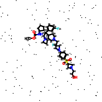 COC(=O)N[C@H]1CCC[C@@H]1C(CN1CCC1)(c1cccc(F)c1)C1CCN(CC2(F)CN(c3ccc(S(=O)(=O)C4CN(CCO)C4)cc3)C2)CC1